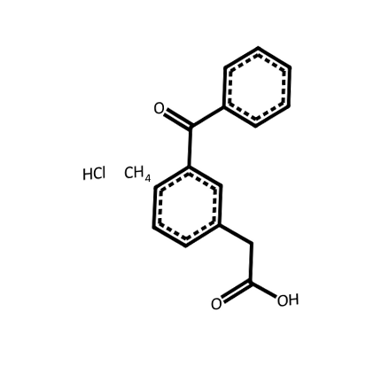 C.Cl.O=C(O)Cc1cccc(C(=O)c2ccccc2)c1